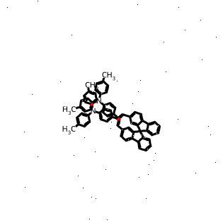 Cc1ccc(N(c2ccc(C)cc2)c2ccc(/C=C/c3ccc4c(c3)C3(c5ccccc5-4)c4ccccc4-c4ccc(/C=C/c5ccc(N(c6ccc(C)cc6)c6ccc(C)cc6)cc5)cc43)cc2)cc1